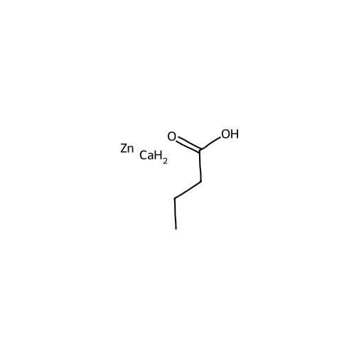 CCCC(=O)O.[CaH2].[Zn]